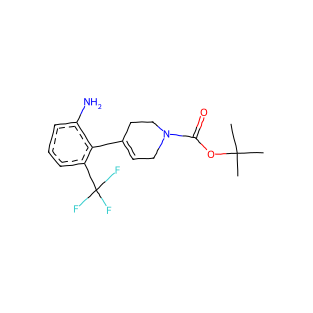 CC(C)(C)OC(=O)N1CC=C(c2c(N)cccc2C(F)(F)F)CC1